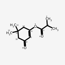 CC(C)C(=O)OC1=CC(=O)CC(C)(C)C1